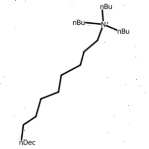 CCCCCCCCCCCCCCCCCC[N+](CCCC)(CCCC)CCCC